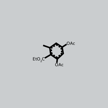 CCOC(=O)c1c(C)cc(OC(C)=O)cc1OC(C)=O